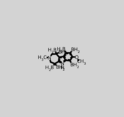 Bc1c(OC)c(B)c2[nH]c3c(c2c1B)C(B)(B)CN(C)CC3(B)B